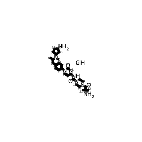 CC(Cc1ccc(-n2ccc(NC(=O)N3CCN(C(=O)C(C)(C)N)CC3)nc2=O)cc1)N(C)[C@H]1CC[C@H](N)C1.Cl